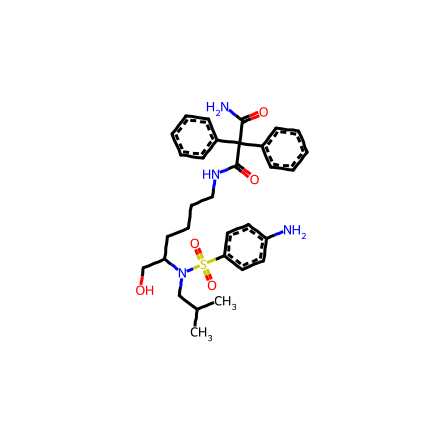 CC(C)CN(C(CO)CCCCNC(=O)C(C(N)=O)(c1ccccc1)c1ccccc1)S(=O)(=O)c1ccc(N)cc1